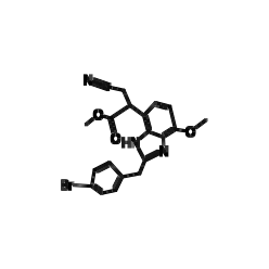 COC(=O)C(CC#N)c1ccc(OC)c2nc(Cc3ccc(Br)cc3)[nH]c12